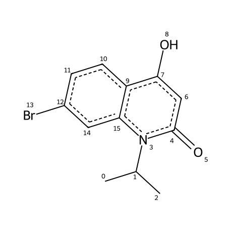 CC(C)n1c(=O)cc(O)c2ccc(Br)cc21